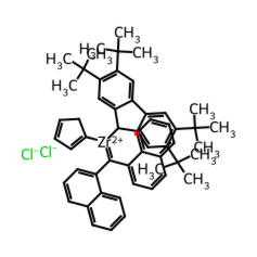 CC(C)(C)c1cc2c(cc1C(C)(C)C)[CH]([Zr+2]([C]1=CC=CC1)=[C](c1cccc3ccccc13)c1cccc3ccccc13)c1cc(C(C)(C)C)c(C(C)(C)C)cc1-2.[Cl-].[Cl-]